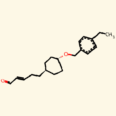 CCc1ccc(CO[C@H]2CC[C@H](CC/C=C/C=O)CC2)cc1